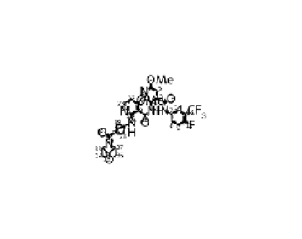 COc1cc(C(=O)Nc2ccc(F)c(C(F)(F)F)c2)c(NC(=O)c2c(OC)ccnc2NC23CC(C(=O)N4C5COCC4C5)(C2)C3)cn1